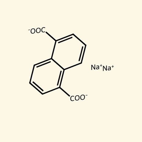 O=C([O-])c1cccc2c(C(=O)[O-])cccc12.[Na+].[Na+]